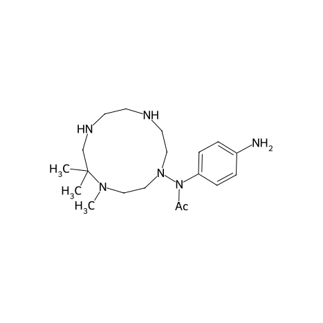 CC(=O)N(c1ccc(N)cc1)N1CCNCCNCC(C)(C)N(C)CC1